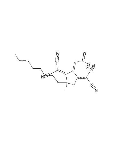 CCCCCCCCC1(C)CC(=C(C#N)C#N)/C(=C\C(=O)O)C1=C(C#N)C#N